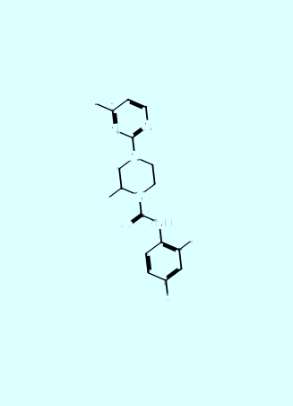 CC(C)C1CN(c2nccc(Cl)n2)CCN1C(=O)Nc1ccc(F)cc1F